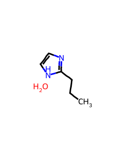 CCCc1ncc[nH]1.O